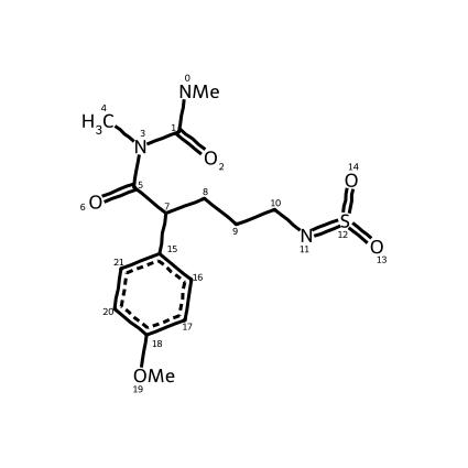 CNC(=O)N(C)C(=O)C(CCCN=S(=O)=O)c1ccc(OC)cc1